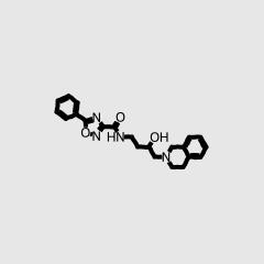 O=C(NCCC(O)CN1CCc2ccccc2C1)c1noc(-c2ccccc2)n1